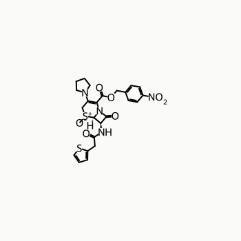 O=C(Cc1cccs1)N[C@@H]1C(=O)N2C(C(=O)OCc3ccc([N+](=O)[O-])cc3)=C(N3CCCC3)C[S+]([O-])[C@H]12